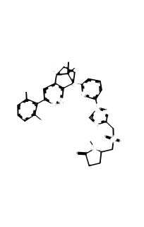 CN1C(=O)CCC1CS(=O)(=O)Cc1ncn(-c2cccc([C@@]34CC[C@@H](c5cc(-c6c(F)cccc6F)nnc53)C4(C)C)n2)n1